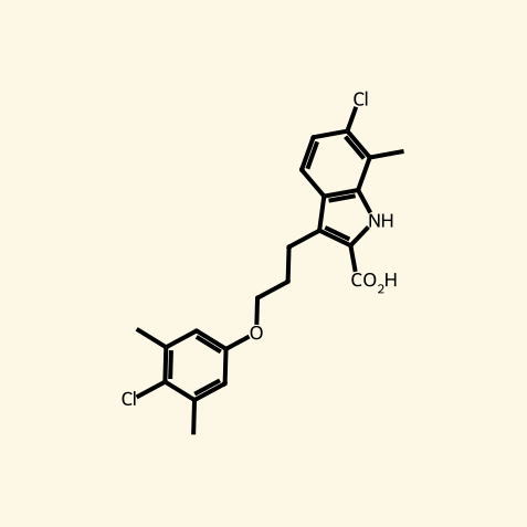 Cc1cc(OCCCc2c(C(=O)O)[nH]c3c(C)c(Cl)ccc23)cc(C)c1Cl